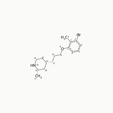 Cc1c(Br)cccc1OCCC[C@H]1CCN[C@@H](C)C1